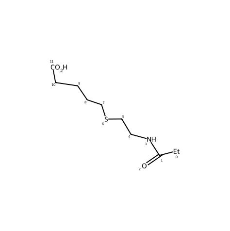 CCC(=O)NCCSCCCCC(=O)O